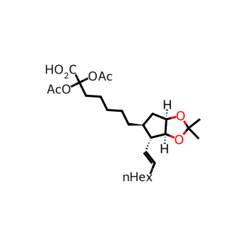 CCCCCCC=C[C@@H]1[C@@H](CCCCCC(OC(C)=O)(OC(C)=O)C(=O)O)C[C@H]2OC(C)(C)O[C@@H]12